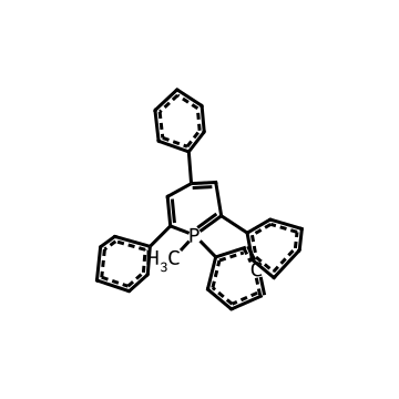 CP1(c2ccccc2)=C(c2ccccc2)C=C(c2ccccc2)C=C1c1ccccc1